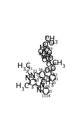 CCCc1nc2c(C)cc(-c3nc4ccccc4n3C)cc2n1Cc1ccc(-c2ccccc2C(=O)OC(C)OC(=O)O[C@H]2CO[C@H]3[C@@H]2OC[C@H]3OC(C)=O)cc1